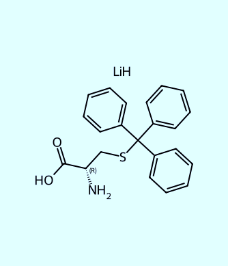 N[C@@H](CSC(c1ccccc1)(c1ccccc1)c1ccccc1)C(=O)O.[LiH]